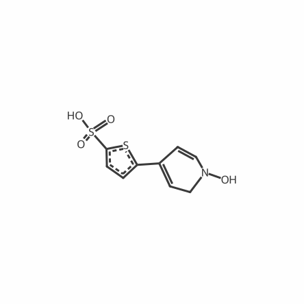 O=S(=O)(O)c1ccc(C2=CCN(O)C=C2)s1